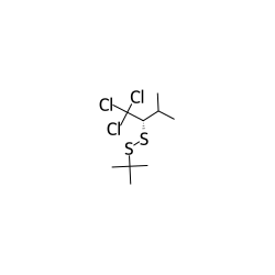 CC(C)[C@H](SSC(C)(C)C)C(Cl)(Cl)Cl